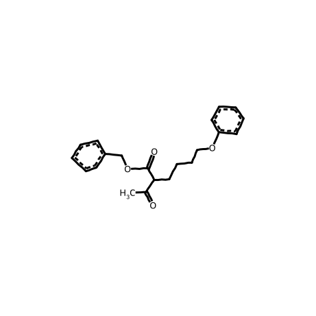 CC(=O)C(CCCCOc1ccccc1)C(=O)OCc1ccccc1